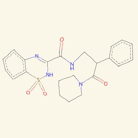 O=C(NCC(C(=O)N1CCCCC1)c1ccccc1)C1=Nc2ccccc2S(=O)(=O)N1